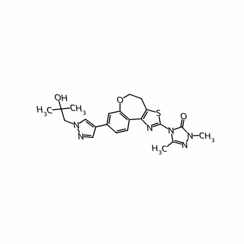 Cc1nn(C)c(=O)n1-c1nc2c(s1)CCOc1cc(-c3cnn(CC(C)(C)O)c3)ccc1-2